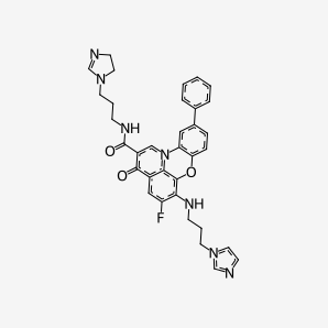 O=C(NCCCN1C=NCC1)c1cn2c3c(c(NCCCn4ccnc4)c(F)cc3c1=O)Oc1ccc(-c3ccccc3)cc1-2